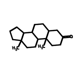 CC12CCCC1C1CCC3CC(=O)CCC3(C)C1CC2